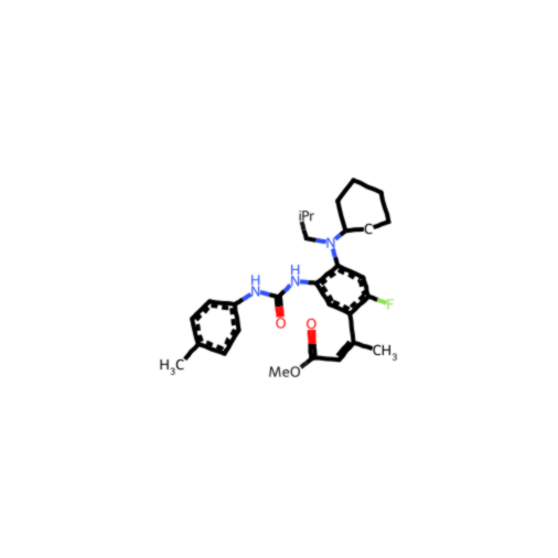 COC(=O)/C=C(/C)c1cc(NC(=O)Nc2ccc(C)cc2)c(N(CC(C)C)C2CCCCC2)cc1F